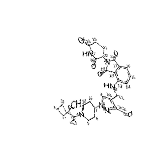 CC1(C(=O)N2CCC(n3cc(CNc4cccc5c4C(=O)N(C4CCC(=O)NC4=O)C5=O)c(Cl)n3)CC2)CCC1